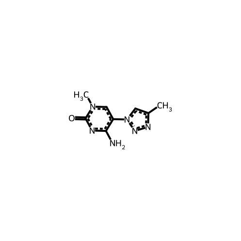 Cc1cn(-c2cn(C)c(=O)nc2N)nn1